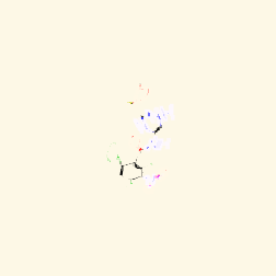 COC(=S)c1nc(NC(=O)c2c(Cl)cc(Cl)c([N+](=O)[O-])c2Cl)c[nH]1